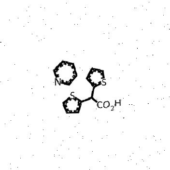 O=C(O)C(c1cccs1)c1cccs1.c1ccncc1